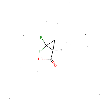 C[C@@]1(C(=O)O)CC1(F)F